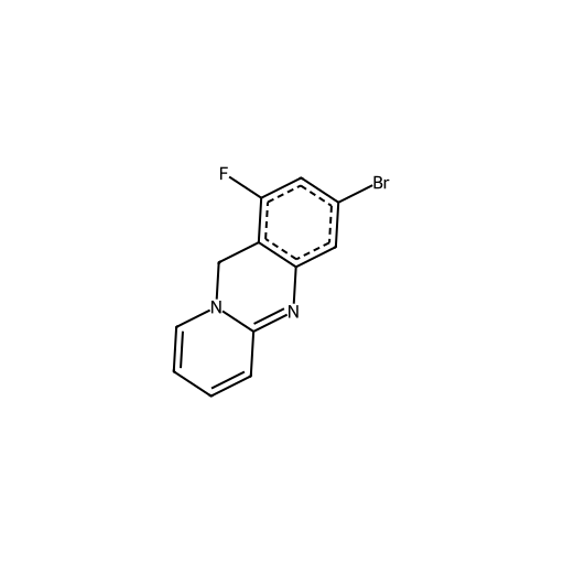 Fc1cc(Br)cc2c1CN1C=CC=CC1=N2